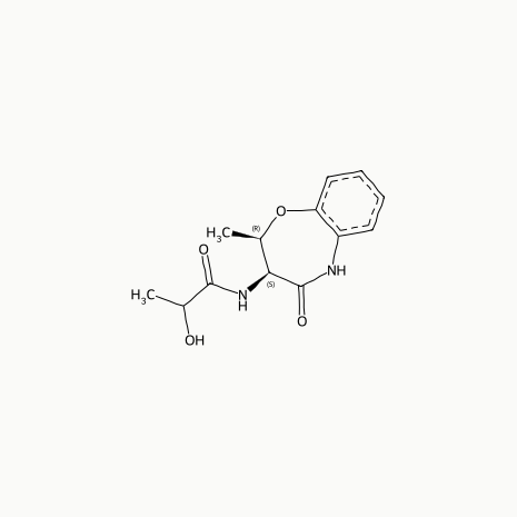 CC(O)C(=O)N[C@@H]1C(=O)Nc2ccccc2O[C@@H]1C